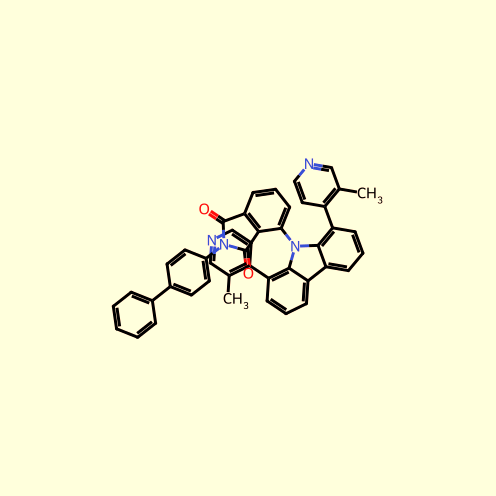 Cc1cnccc1-c1cccc2c3cccc(-c4ccncc4C)c3n(-c3cccc4c3C(=O)N(c3ccc(-c5ccccc5)cc3)C4=O)c12